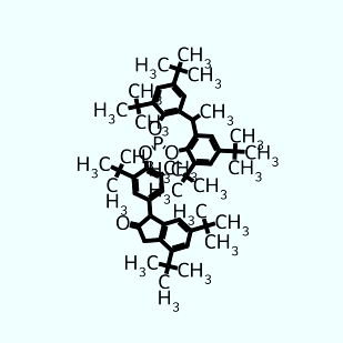 Cc1cc(C2C(=O)Cc3c2cc(C(C)(C)C)cc3C(C)(C)C)cc(C(C)(C)C)c1OP1Oc2c(cc(C(C)(C)C)cc2C(C)(C)C)C(C)c2cc(C(C)(C)C)cc(C(C)(C)C)c2O1